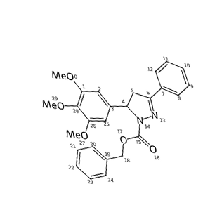 COc1cc(C2CC(c3ccccc3)=NN2C(=O)OCc2ccccc2)cc(OC)c1OC